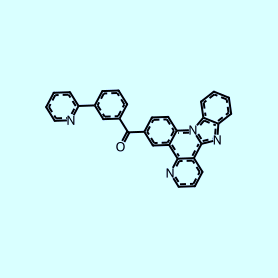 O=C(c1cccc(-c2ccccn2)c1)c1ccc2c(c1)c1ncccc1c1nc3ccccc3n21